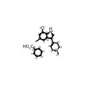 Cc1cc(Cl)c2[nH]cc(C3=CCN(C)CC3)c2c1.O=C(O)c1ccccc1